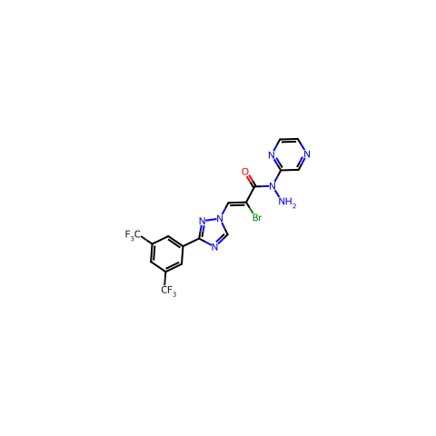 NN(C(=O)C(Br)=Cn1cnc(-c2cc(C(F)(F)F)cc(C(F)(F)F)c2)n1)c1cnccn1